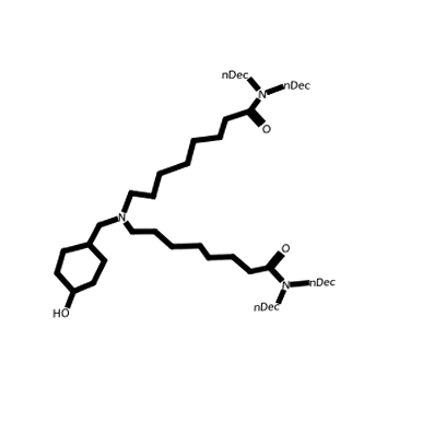 CCCCCCCCCCN(CCCCCCCCCC)C(=O)CCCCCCCN(CCCCCCCC(=O)N(CCCCCCCCCC)CCCCCCCCCC)CC1CCC(O)CC1